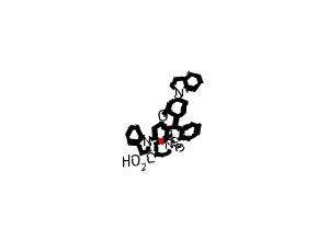 O=C(O)C1CCN(S(=O)(=O)c2ccccc2-c2c3cc/c(=[N+]4/CCc5ccccc54)cc-3oc3cc(N4CCc5ccccc54)ccc23)CC1